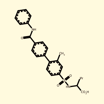 Cc1cc(S(=O)(=O)NC(C(=O)O)C(C)C)ccc1-c1ccc(C(=O)Nc2ccccc2)cc1